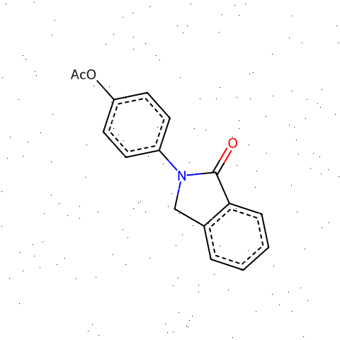 CC(=O)Oc1ccc(N2Cc3ccccc3C2=O)cc1